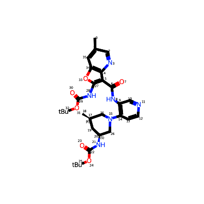 Cc1cnc2c(C(=O)Nc3cnccc3N3C[C@H](C)C[C@H](NC(=O)OC(C)(C)C)C3)c(NC(=O)OC(C)(C)C)oc2c1